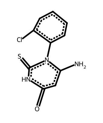 Nc1cc(=O)[nH]c(=S)n1-c1ccccc1Cl